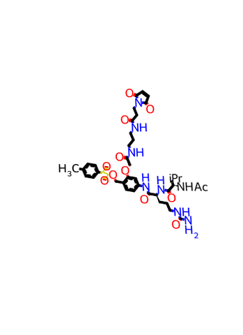 CC(=O)N[C@H](C(=O)N[C@@H](CCCNC(N)=O)C(=O)Nc1ccc(COS(=O)(=O)c2ccc(C)cc2)c(OCC(=O)NCCCNC(=O)CCN2C(=O)C=CC2=O)c1)C(C)C